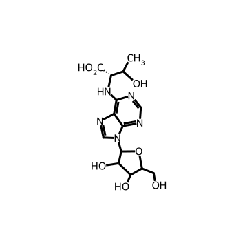 CC(O)[C@H](Nc1ncnc2c1ncn2C1OC(CO)C(O)C1O)C(=O)O